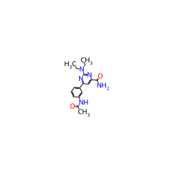 CCN(CC)c1nc(C(N)=O)cc(-c2cccc(NC(C)=O)c2)n1